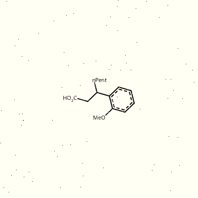 CCCCCC(CC(=O)O)c1ccccc1OC